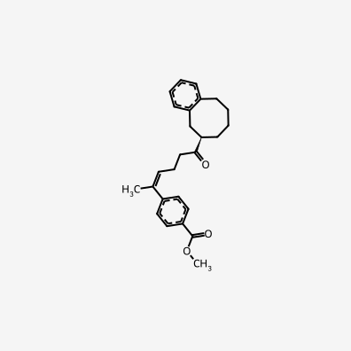 COC(=O)c1ccc(/C(C)=C\CCC(=O)[C@@H]2CCCCc3ccccc3C2)cc1